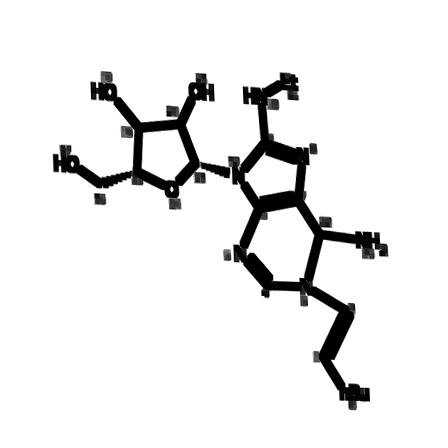 CCCCC=CN1C=Nc2c(nc(NCC)n2[C@@H]2O[C@H](CO)C(O)C2O)C1N